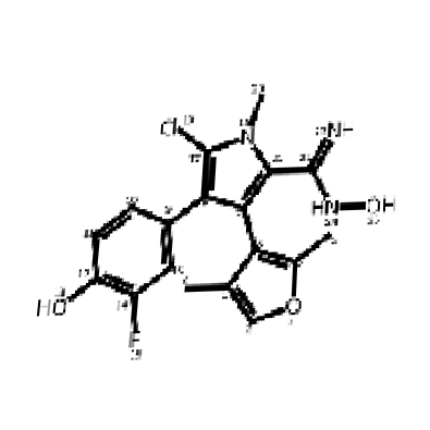 Cc1coc(C)c1-c1c(-c2ccc(O)c(F)c2)c(Cl)n(C)c1C(=N)NO